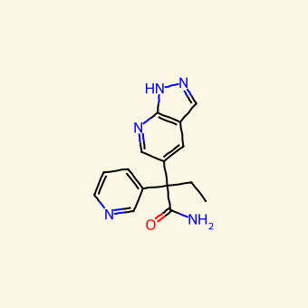 CCC(C(N)=O)(c1cccnc1)c1cnc2[nH]ncc2c1